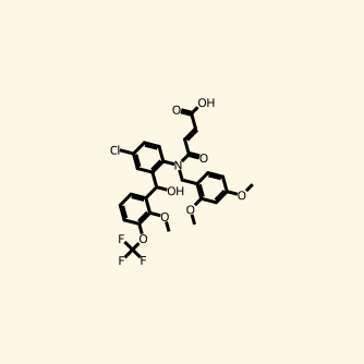 COc1ccc(CN(C(=O)C=CC(=O)O)c2ccc(Cl)cc2C(O)c2cccc(OC(F)(F)F)c2OC)c(OC)c1